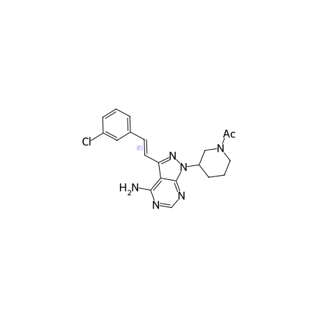 CC(=O)N1CCCC(n2nc(/C=C/c3cccc(Cl)c3)c3c(N)ncnc32)C1